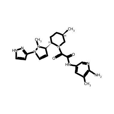 Cc1cc(NC(=O)C(=O)N2C[C@H](C)CC[C@H]2C2C=CN(c3cc[nH]n3)N2C)cnc1N